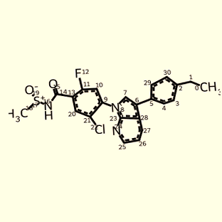 CCc1ccc(-c2cn(-c3cc(F)c(C(=O)N[S+](C)[O-])cc3Cl)c3ncccc23)cc1